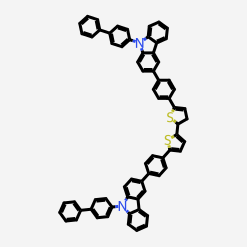 C1=C(c2ccc(-c3ccc4c(c3)c3ccccc3n4-c3ccc(-c4ccccc4)cc3)cc2)SC(c2ccc(-c3ccc(-c4ccc5c(c4)c4ccccc4n5-c4ccc(-c5ccccc5)cc4)cc3)s2)C1